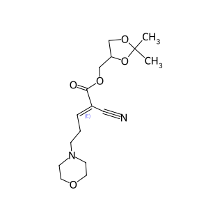 CC1(C)OCC(COC(=O)/C(C#N)=C/CCN2CCOCC2)O1